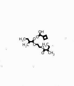 C=C(CC)C(=O)OCCOC(=O)C(=C)CC.O=C(O)C1=CCC1